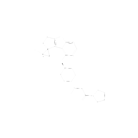 CN(CC(=O)N1CCCC1)[C@H]1CC[C@H](Oc2ncnc3sc4c(c23)C2(CC4)C[C@@]2(C)O)CC1